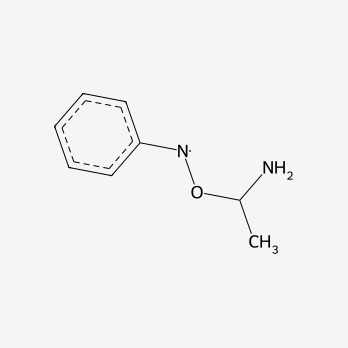 CC(N)O[N]c1ccccc1